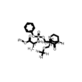 [2H]C([2H])([2H])OC[C@]1(COP(=O)(N[C@@H](C)C(=O)OC(C)C)Oc2ccccc2)C(=O)[C@H]2CCN1[C@H](C)C2